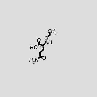 CCON[C@@H](CCC(N)=O)C(=O)O